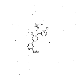 CSc1nccc(-c2ccn([C@H](CO[Si](C)(C)C(C)(C)C)c3cccc(Cl)c3)c(=O)c2)n1